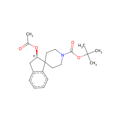 CC(=O)O[C@@H]1Cc2ccccc2C12CCN(C(=O)OC(C)(C)C)CC2